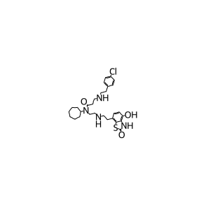 O=C(CCNCCc1ccc(Cl)cc1)N(CCNCCc1ccc(O)c2[nH]c(=O)sc12)C1CCCCCC1